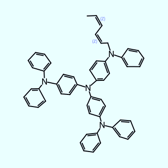 C/C=C\C=C/CN(c1ccccc1)c1ccc(N(c2ccc(N(c3ccccc3)c3ccccc3)cc2)c2ccc(N(c3ccccc3)c3ccccc3)cc2)cc1